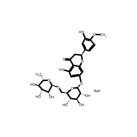 COc1ccc([C@@H]2CC(=O)c3c(O)cc(O[C@@H]4O[C@H](CO[C@@H]5O[C@@H](C)[C@H](O)[C@@H](O)[C@H]5O)[C@@H](O)[C@H](O)[C@H]4O)cc3O2)cc1O.[NaH]